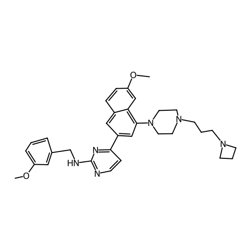 COc1cccc(CNc2nccc(-c3cc(N4CCN(CCCN5CCC5)CC4)c4cc(OC)ccc4c3)n2)c1